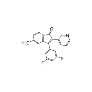 Cc1ccc2c(c1)C(c1cc(F)cc(F)c1)=C(c1cccnc1)C2=O